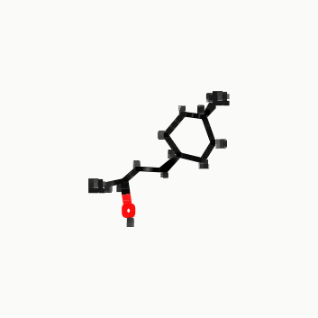 CCC(=O)CC[C@H]1CC[C@@H](CC)CC1